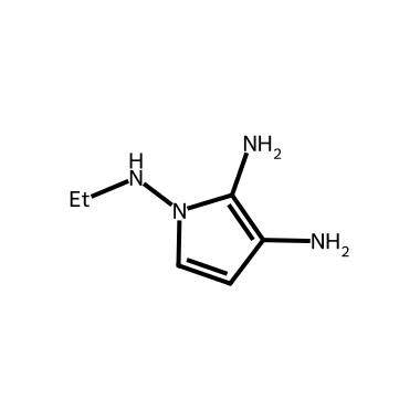 CCNn1ccc(N)c1N